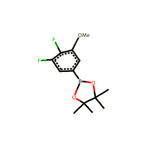 COc1cc(B2OC(C)(C)C(C)(C)O2)cc(F)c1F